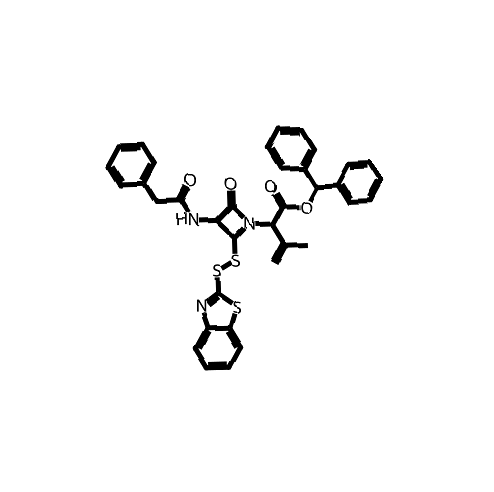 C=C(C)C(C(=O)OC(c1ccccc1)c1ccccc1)N1C(=O)C(NC(=O)Cc2ccccc2)C1SSc1nc2ccccc2s1